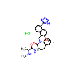 CNC(C)C(=O)N[C@H]1CCc2ccccc2N(Cc2c(OC)ccc3c(-c4nnn[nH]4)cccc23)C1=O.Cl